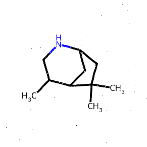 CC1CNC2CC1C(C)(C)C2